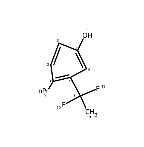 CCCc1ccc(O)cc1C(C)(F)F